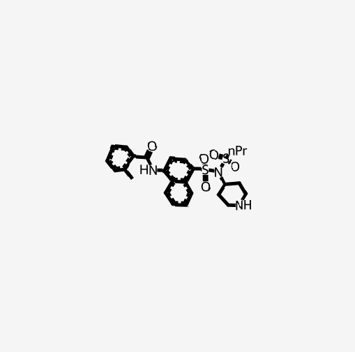 CCCS(=O)(=O)N(C1CCNCC1)S(=O)(=O)c1ccc(NC(=O)c2ccccc2C)c2ccccc12